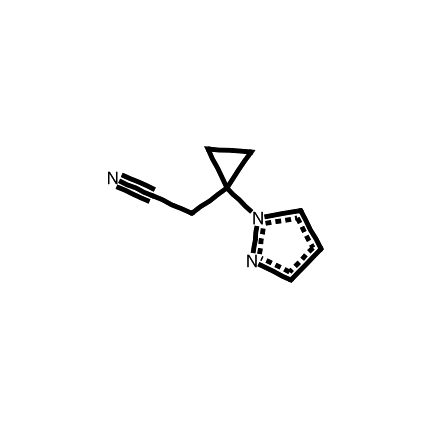 N#CCC1(n2cccn2)CC1